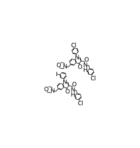 O=C(NCc1ccc(Cl)cc1)c1cn(-c2ccc(Cl)cc2)c2ccc(CN3CCOCC3)cc2c1=O.O=C(NCc1ccc(Cl)cc1)c1cn(-c2cccc(I)c2)c2ccc(CN3CCOCC3)cc2c1=O